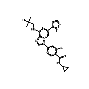 CC(C)(O)CNc1nc(-c2ccn[nH]2)cn2c(-c3ccc(C(=O)NC4CC4)c(Cl)c3)cnc12